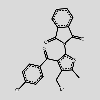 Cc1sc(N2C(=O)c3ccccc3C2=O)c(C(=O)c2ccc(Cl)cc2)c1CBr